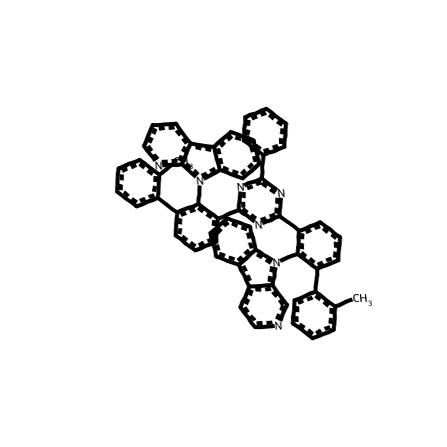 Cc1ccccc1-c1cccc(-c2nc(-c3ccccc3)nc(-c3cccc(-c4ccccc4C)c3-n3c4ccccc4c4cccnc43)n2)c1-n1c2ccccc2c2ccncc21